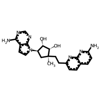 C[C@]1(CCc2ccc3ccc(N)nc3n2)C[C@@H](n2ccc3c(N)ncnc32)[C@H](O)[C@@H]1O